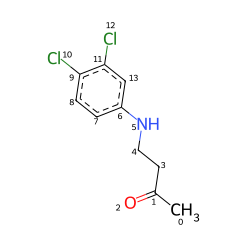 CC(=O)CCNc1ccc(Cl)c(Cl)c1